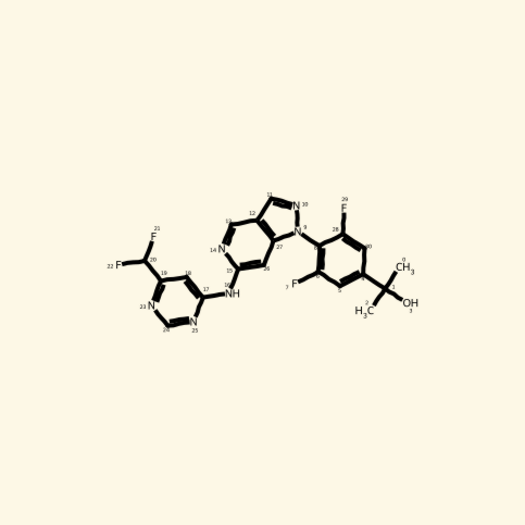 CC(C)(O)c1cc(F)c(-n2ncc3cnc(Nc4cc(C(F)F)ncn4)cc32)c(F)c1